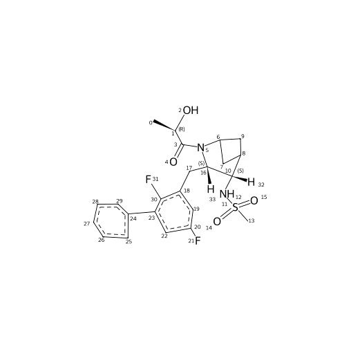 C[C@@H](O)C(=O)N1C2CC(C2)[C@H](NS(C)(=O)=O)[C@@H]1Cc1cc(F)cc(-c2ccccc2)c1F